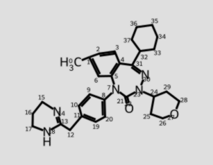 Cc1ccc2c(c1)N(c1ccc(CC3=NCCCN3)cc1)C(=O)N(C1CCOCC1)N=C2C1CCCCC1